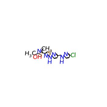 Cc1nc(C(C)O)sc1-c1csc(Nc2ccc(CNc3ccc(Cl)cn3)cn2)n1